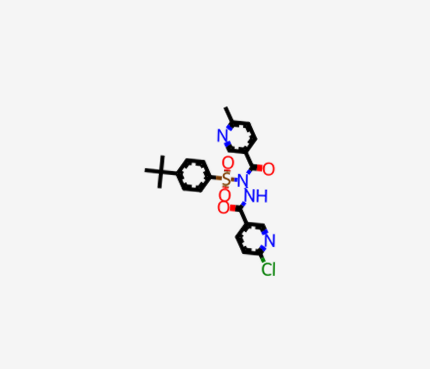 Cc1ccc(C(=O)N(NC(=O)c2ccc(Cl)nc2)S(=O)(=O)c2ccc(C(C)(C)C)cc2)cn1